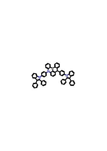 c1ccc(-c2c(-c3ccccc3)n(-c3ccc(C4c5ccccc5B5c6ccccc6N(c6ccc(-n7c(-c8ccccc8)c(-c8ccccc8)c8ccccc87)cc6)c6cccc4c65)cc3)c3ccccc23)cc1